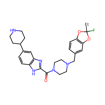 CCC1(F)Oc2ccc(CN3CCN(C(=O)c4nc5cc(C6CCNCC6)ccc5[nH]4)CC3)cc2O1